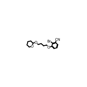 N#Cc1cccc(OCCCCOC2CCCCO2)c1Br